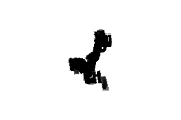 C=Cc1ccc(N2CCN(C(=O)OC(C)(C)C)CC2)c2ccnnc12